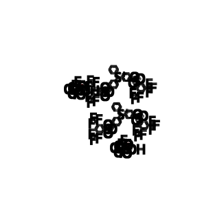 O=S(=O)(Oc1ccc([S+](c2ccccc2)c2ccc(OS(=O)(=O)c3cc(C(F)(F)F)cc(C(F)(F)F)c3)cc2)cc1)c1cc(C(F)(F)F)cc(C(F)(F)F)c1.O=S(=O)(Oc1ccc([S+](c2ccccc2)c2ccc(OS(=O)(=O)c3cc(C(F)(F)F)cc(C(F)(F)F)c3)cc2)cc1)c1cc(C(F)(F)F)cc(C(F)(F)F)c1.O=S(=O)([O-])C(F)(C(F)(F)F)S(=O)(=O)O.O=S(=O)([O-])C(F)(C(F)(F)F)S(=O)(=O)O